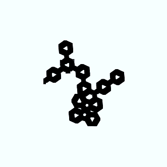 Ic1ccc(-c2nc(-c3ccccc3)nc(-c3cccc(-c4cccc(N(c5ccc(-c6ccccc6)cc5)c5cccc6c5-c5ccccc5C65c6ccccc6-c6ccccc65)c4)c3)n2)cc1